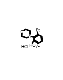 CCc1cccc(C(=O)O)c1N1CCOCC1.Cl